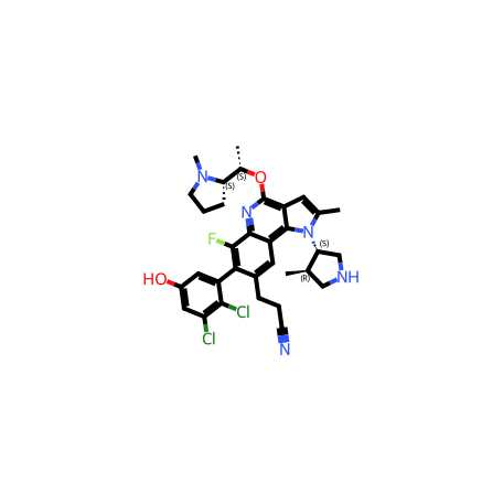 Cc1cc2c(O[C@@H](C)[C@@H]3CCCN3C)nc3c(F)c(-c4cc(O)cc(Cl)c4Cl)c(CCC#N)cc3c2n1[C@@H]1CNC[C@H]1C